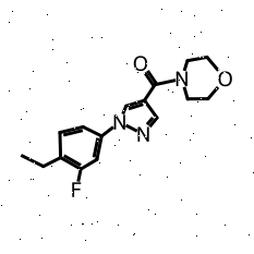 CCc1ccc(-n2cc(C(=O)N3CCOCC3)cn2)cc1F